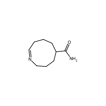 NC(=O)C1CCCC=NCCC1